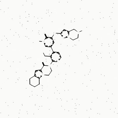 C[C@H]1CCCc2cc3n(c21)CCN(c1nccc(-c2cc(Nc4cc5n(n4)CCN(C)C5)c(=O)n(C)c2)c1CO)C3=O